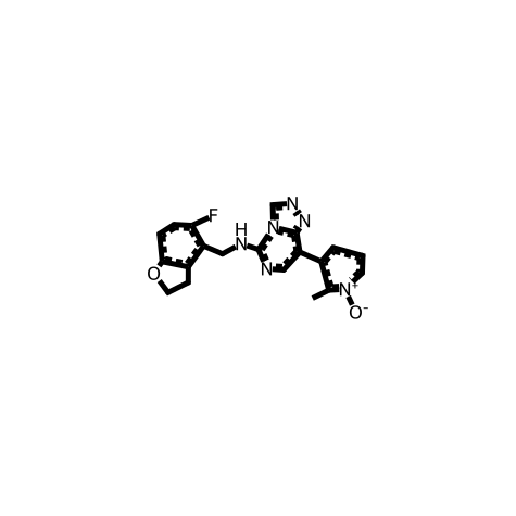 Cc1c(-c2cnc(NCc3c(F)ccc4c3CCO4)n3cnnc23)ccc[n+]1[O-]